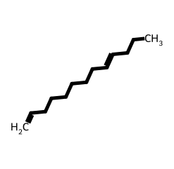 C=CCCCCCCC=CCCC